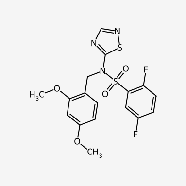 COc1ccc(CN(c2ncns2)S(=O)(=O)c2cc(F)ccc2F)c(OC)c1